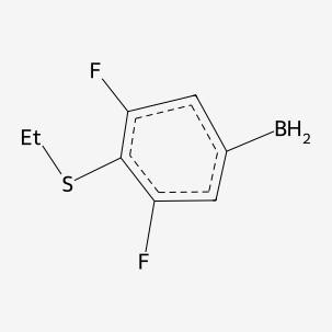 Bc1cc(F)c(SCC)c(F)c1